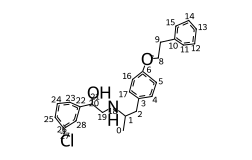 CC(Cc1ccc(OCCc2ccccc2)cc1)NCC(O)c1cccc(Cl)c1